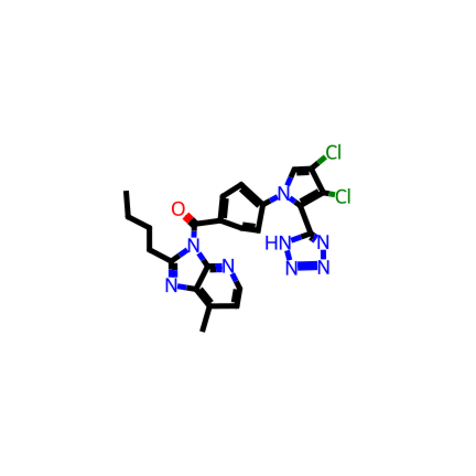 CCCCc1nc2c(C)ccnc2n1C(=O)c1ccc(-n2cc(Cl)c(Cl)c2-c2nnn[nH]2)cc1